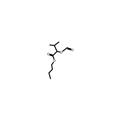 CCCCOC(=O)C(O[C]=O)C(C)C